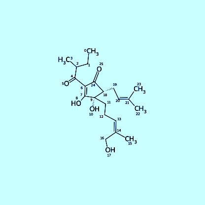 CCC(C)C(=O)C1=C(O)[C@](O)(CCC=C(C)CO)[C@@H](CC=C(C)C)C1=O